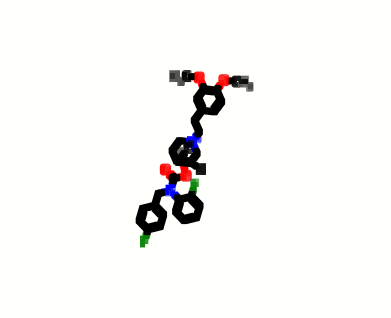 COc1ccc(CC[N+]23CCC(CC2)[C@@H](OC(=O)N(Cc2ccc(F)cc2)c2ccccc2F)C3)cc1OC